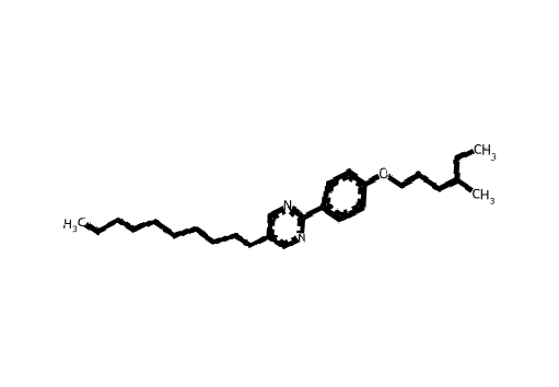 CCCCCCCCCCc1cnc(-c2ccc(OCCCC(C)CC)cc2)nc1